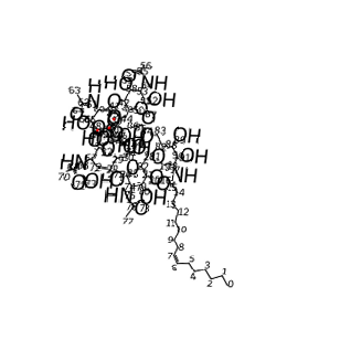 CCCCCC/C=C\CCCCCCCC(=O)NC1[C@H](O[C@@H]2C(CO)O[C@@H](O[C@@H]3C(CO)O[C@@H](O[C@@H]4C(CO)O[C@@H](O[C@@H]5C(COS(=O)(=O)O)O[C@@H](O)C(NC(C)=O)[C@H]5O)C(NC(C)=O)[C@H]4O)C(NC(C)=O)[C@H]3O)C(NC(C)=O)[C@H]2O)OC(COC(C)=O)[C@@H](O)[C@@H]1O